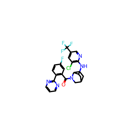 O=C(c1cc(F)ccc1-c1ncccn1)N1CC2CCC1C(Nc1ncc(C(F)(F)F)cc1Cl)C2